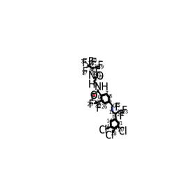 O=C(CNC(=O)c1ccc(/C=C/C(c2cc(Cl)c(Cl)c(Cl)c2)C(F)(F)F)cc1C(F)(F)F)NC(C(F)(F)F)C(F)(F)F